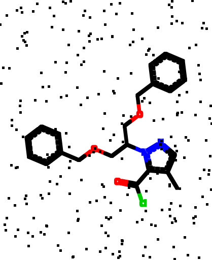 Cc1cnn(C(COCc2ccccc2)COCc2ccccc2)c1C(=O)Cl